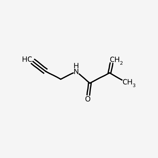 C#CCNC(=O)C(=C)C